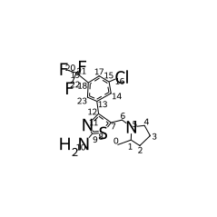 CC1CCCN1Cc1sc(N)nc1-c1cc(Cl)cc(C(F)(F)F)c1